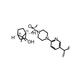 CC1(C)[C@@H]2CC[C@@]1(C[SH](C)(=O)N1CCN(c3ccc(C(F)F)cn3)CC1)C(O)C2